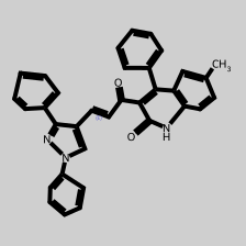 Cc1ccc2[nH]c(=O)c(C(=O)/C=C/c3cn(-c4ccccc4)nc3-c3ccccc3)c(-c3ccccc3)c2c1